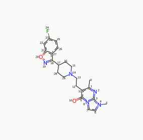 Cc1nc2n(C)ccn2c(=O)c1CCN1CCC(c2noc3cc(F)ccc23)CC1